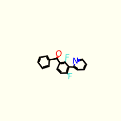 O=C(c1ccccc1)c1ccc(F)c(-c2ccccn2)c1F